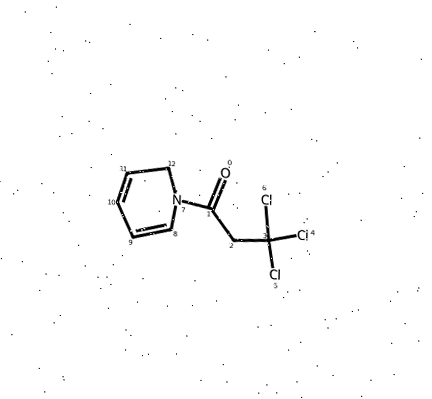 O=C(CC(Cl)(Cl)Cl)N1C=CC=CC1